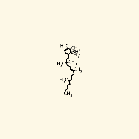 BC1(C)C(CCC(C)(C)CC/C=C(\C)CCC/C(C)=C/CCCC)=CC=C(C)C1C